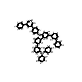 c1ccc(-c2cccc(-c3ccc4c(c3)c3cc(-c5cccc(N(c6ccccc6)c6ccccc6)c5)ccc3n4-c3ccc(-c4cncc(-c5ccccc5)c4)cc3)c2)cc1